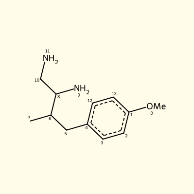 COc1ccc(CC(C)C(N)CN)cc1